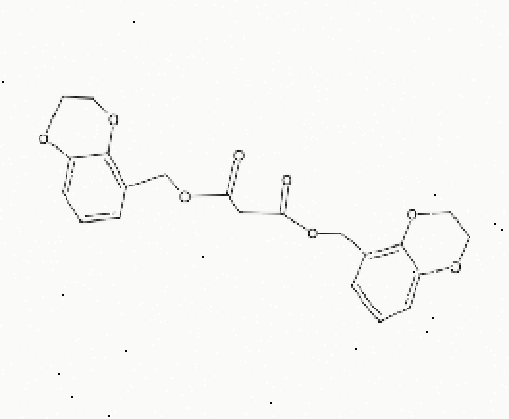 O=C(CC(=O)OCc1cccc2c1OCCO2)OCc1cccc2c1OCCO2